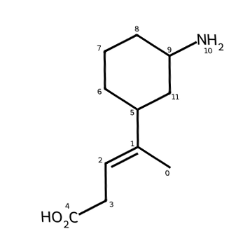 C/C(=C\CC(=O)O)C1CCCC(N)C1